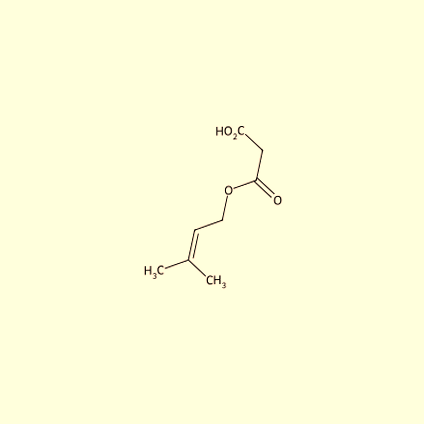 CC(C)=CCOC(=O)CC(=O)O